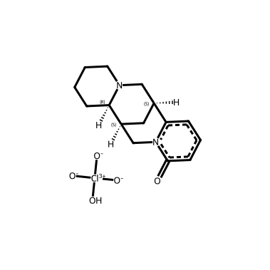 O=c1cccc2n1C[C@@H]1C[C@H]2CN2CCCC[C@H]12.[O-][Cl+3]([O-])([O-])O